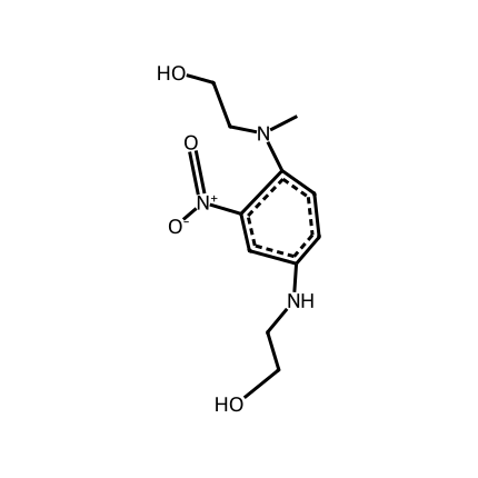 CN(CCO)c1ccc(NCCO)cc1[N+](=O)[O-]